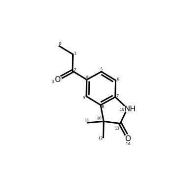 CCC(=O)c1ccc2c(c1)C(C)(C)C(=O)N2